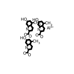 Cc1cc(O)cc2nc(C(=O)[O-])ccc12.Cc1cc(O)cc2nc(C(=O)[O-])ccc12.Cc1cc(O)cc2nc(C(=O)[O-])ccc12.[Al+3]